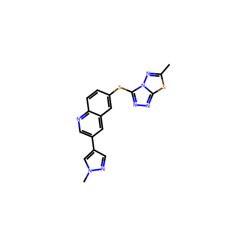 Cc1nn2c(Sc3ccc4ncc(-c5cnn(C)c5)cc4c3)nnc2s1